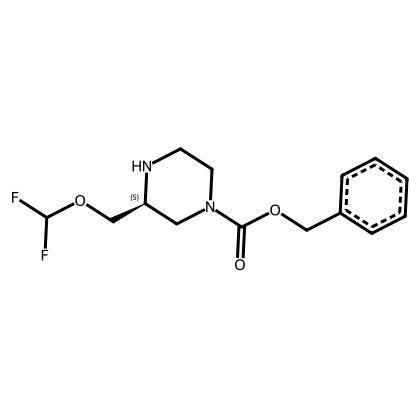 O=C(OCc1ccccc1)N1CCN[C@H](COC(F)F)C1